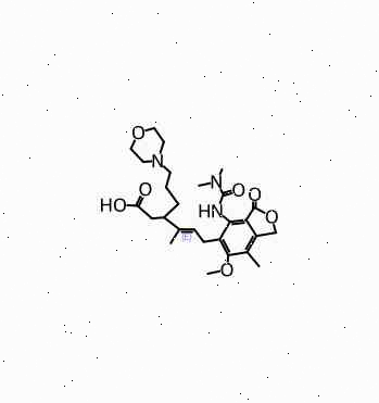 COc1c(C)c2c(c(NC(=O)N(C)C)c1C/C=C(\C)C(CCCN1CCOCC1)CC(=O)O)C(=O)OC2